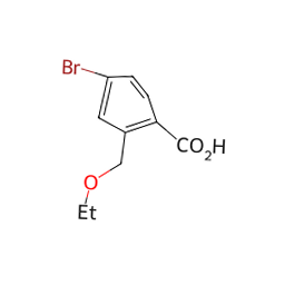 CCOCc1cc(Br)ccc1C(=O)O